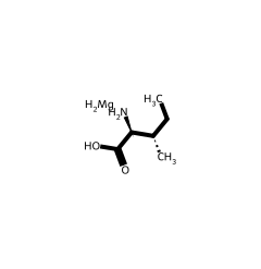 CC[C@H](C)[C@H](N)C(=O)O.[MgH2]